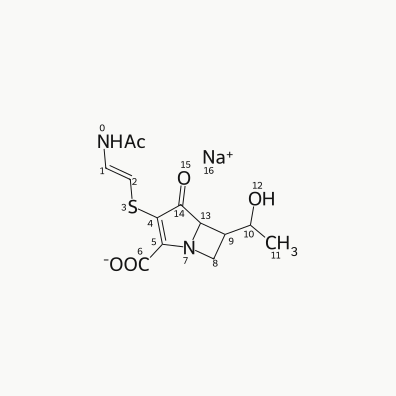 CC(=O)NC=CSC1=C(C(=O)[O-])N2CC(C(C)O)C2C1=O.[Na+]